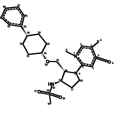 Cn1cc(F)c(=O)cc1N1CC[C@H](NS(C)(=O)=O)[C@@H]1CO[C@H]1CC[C@@H](c2ccccc2)CC1